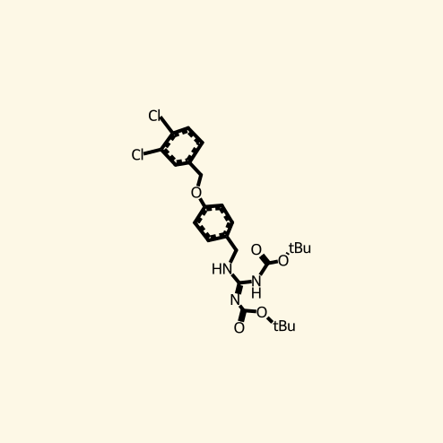 CC(C)(C)OC(=O)N=C(NCc1ccc(OCc2ccc(Cl)c(Cl)c2)cc1)NC(=O)OC(C)(C)C